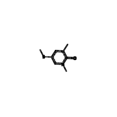 CSc1cc(C)c(=O)n(C)c1